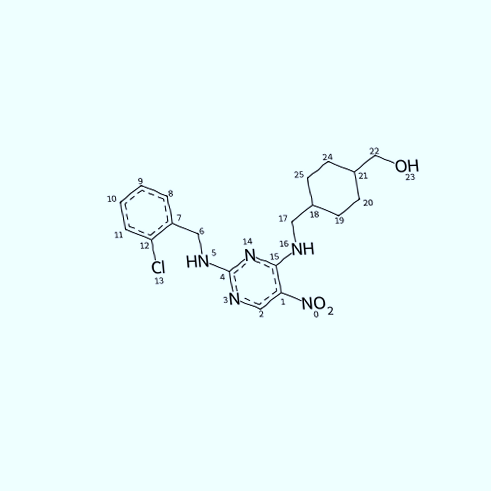 O=[N+]([O-])c1cnc(NCc2ccccc2Cl)nc1NCC1CCC(CO)CC1